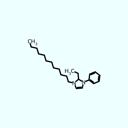 CCCCCCCCCCCCN1C=CN(c2ccccc2)C1CC